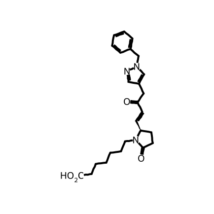 O=C(O)CCCCCCN1C(=O)CC[C@@H]1C=CC(=O)Cc1cnn(Cc2ccccc2)c1